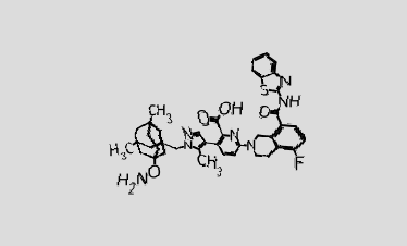 Cc1c(-c2ccc(N3CCc4c(F)ccc(C(=O)Nc5nc6ccccc6s5)c4C3)nc2C(=O)O)cnn1CC12CC3(C)CC(C)(C1)CC(ON)(C3)C2